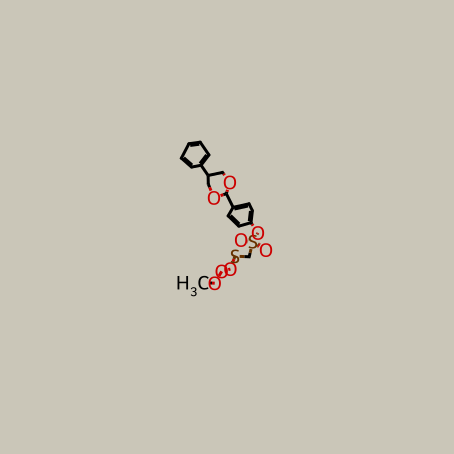 COOOSCS(=O)(=O)Oc1ccc(C2OCC(c3ccccc3)CO2)cc1